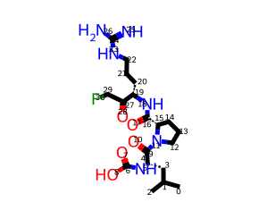 CC(C)C[C@H](NC(=O)O)C(=O)N1CCC[C@H]1C(=O)N[C@@H](CCCNC(=N)N)C(=O)CF